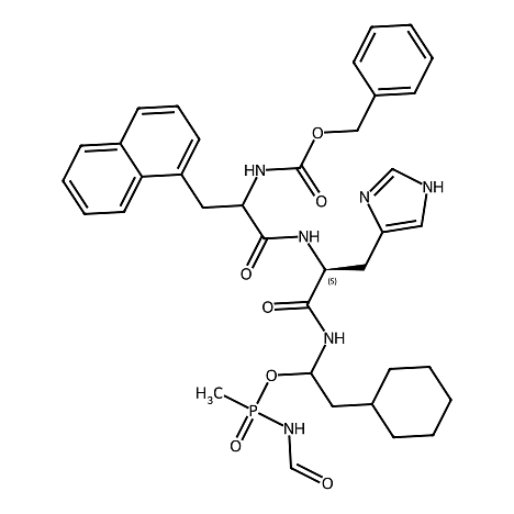 CP(=O)(NC=O)OC(CC1CCCCC1)NC(=O)[C@H](Cc1c[nH]cn1)NC(=O)C(Cc1cccc2ccccc12)NC(=O)OCc1ccccc1